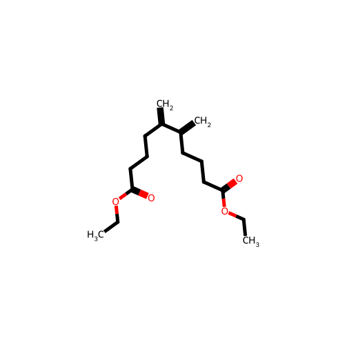 C=C(CCCC(=O)OCC)C(=C)CCCC(=O)OCC